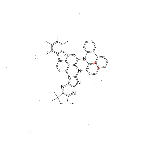 Cc1c(C)c(C)c2c3cc4c5c6c3c(ccc6n3c6nc7c(nc6nc3n5-c3ccccc3B4c3ccccc3-c3ccccc3)C(C)(C)CC7(C)C)c2c1C